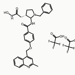 Cc1cc(COc2ccc(C(=O)NC3[C@H](CC(=O)NO)CCN3Cc3ccccc3)cc2)c2ccccc2n1.O=C(O)C(F)(F)F.O=C(O)C(F)(F)F